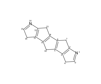 C1=NC2=C(C1)C1=C(C2)C2=C(C1)C1=C(C2)N=CC1